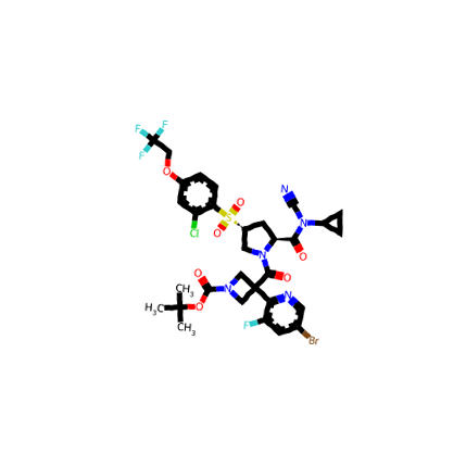 CC(C)(C)OC(=O)N1CC(C(=O)N2C[C@H](S(=O)(=O)c3ccc(OCC(F)(F)F)cc3Cl)C[C@H]2C(=O)N(C#N)C2CC2)(c2ncc(Br)cc2F)C1